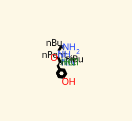 CCCCC[C@@H](N[C@@H](Cc1ccc(O)cc1)C(=O)NC[C@@H](N)CCCC)[C@@H](C)CC.Cl.Cl